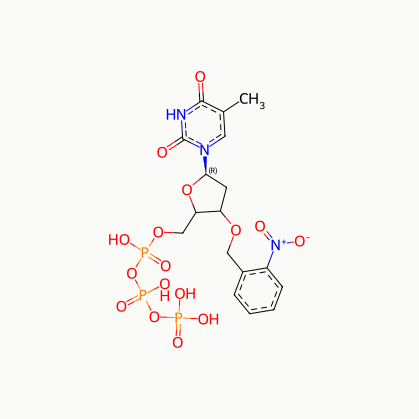 Cc1cn([C@H]2CC(OCc3ccccc3[N+](=O)[O-])C(COP(=O)(O)OP(=O)(O)OP(=O)(O)O)O2)c(=O)[nH]c1=O